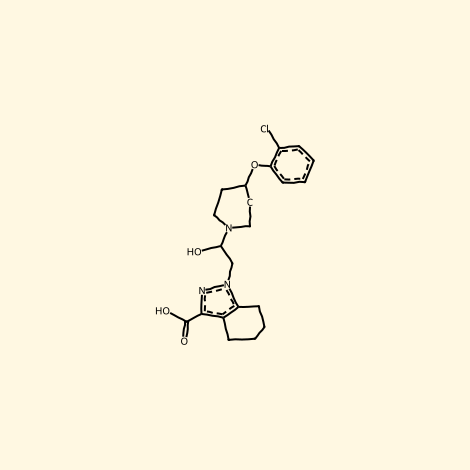 O=C(O)c1nn(CC(O)N2CCC(Oc3ccccc3Cl)CC2)c2c1CCCC2